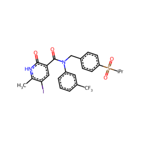 Cc1[nH]c(=O)c(C(=O)N(Cc2ccc(S(=O)(=O)C(C)C)cc2)c2cccc(C(F)(F)F)c2)cc1I